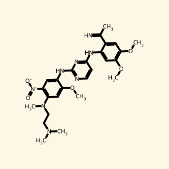 COc1cc(N(C)CCN(C)C)c([N+](=O)[O-])cc1Nc1nccc(Nc2cc(OC)c(OC)cc2C(C)=N)n1